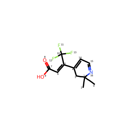 CC1(C)CC(/C(=C/C(=O)O)C(F)(F)F)=CC=N1